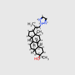 C[C@@H](Cn1nccn1)C1CC[C@H]2[C@@H]3CC[C@H]4C[C@](C)(O)CC[C@@H]4[C@H]3CC[C@]12C